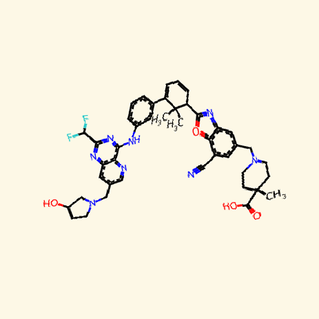 CC1(C(=O)O)CCN(Cc2cc(C#N)c3oc(C4C=CC=C(c5cccc(Nc6nc(C(F)F)nc7cc(CN8CCC(O)C8)cnc67)c5)C4(C)C)nc3c2)CC1